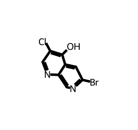 Oc1c(Cl)cnc2cnc(Br)cc12